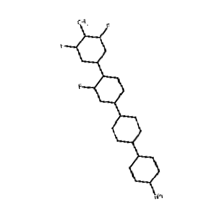 CCCC1CCC(C2CCC(C3CCC(C4CC(F)C(C)C(F)C4)C(F)C3)CC2)CC1